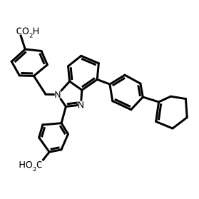 O=C(O)c1ccc(Cn2c(-c3ccc(C(=O)O)cc3)nc3c(-c4ccc(C5=CCCCC5)cc4)cccc32)cc1